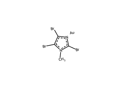 Cn1c(Br)nc(Br)c1Br.[Au]